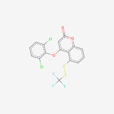 O=c1cc(Oc2c(Cl)cccc2Cl)c2c(SSC(F)(F)F)cccc2o1